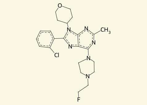 Cc1nc(N2CCN(CCF)CC2)c2nc(-c3ccccc3Cl)n(C3CCOCC3)c2n1